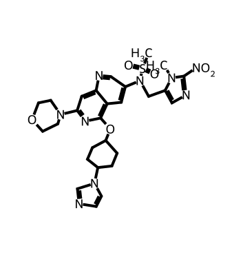 Cn1c(CN(c2cnc3cc(N4CCOCC4)nc(OC4CCC(n5ccnc5)CC4)c3c2)S(C)(=O)=O)cnc1[N+](=O)[O-]